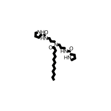 CCCCCCCCCCCC(=O)N(CCCNC(=O)[C@@H]1CCCN1)CCCNC(=O)[C@@H]1CCCN1